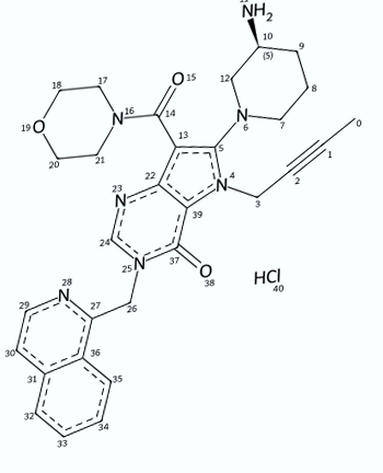 CC#CCn1c(N2CCC[C@H](N)C2)c(C(=O)N2CCOCC2)c2ncn(Cc3nccc4ccccc34)c(=O)c21.Cl